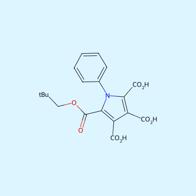 CC(C)(C)COC(=O)c1c(C(=O)O)c(C(=O)O)c(C(=O)O)n1-c1ccccc1